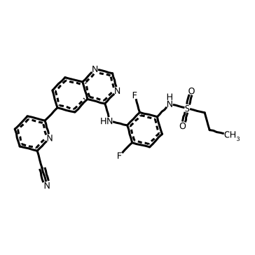 CCCS(=O)(=O)Nc1ccc(F)c(Nc2ncnc3ccc(-c4cccc(C#N)n4)cc23)c1F